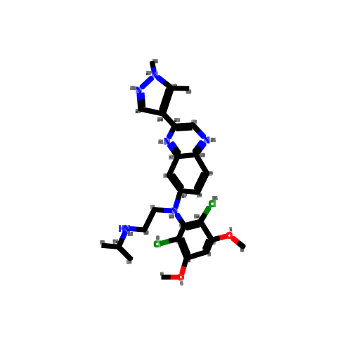 COc1cc(OC)c(Cl)c(N(CCNC(C)C)c2ccc3ncc(-c4cnn(C)c4C)nc3c2)c1Cl